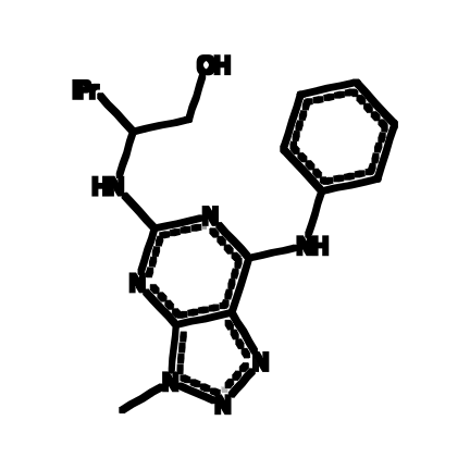 CC(C)C(CO)Nc1nc(Nc2ccccc2)c2nnn(C)c2n1